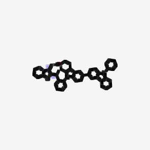 C#C/C=c1\c(=C(/C)c2ccccc2-n2c3c(c4cc(-c5ccc6c(c5)c5ccccc5n6-c5ccccc5)ccc42)C=CCC3)oc2ccccc12